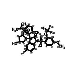 COc1ccc(S(=O)(=O)N2C(=O)C(c3ccccc3C)(N3C[C@H](O)C[C@H]3C(=O)N(C)C)c3cc(I)ccc32)c(OC(F)(F)F)c1